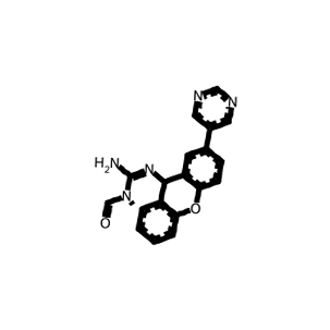 CN(C=O)/C(N)=N\C1c2ccccc2Oc2ccc(-c3cncnc3)cc21